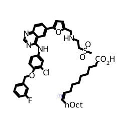 CCCCCCCC/C=C\CCCCCCCC(=O)O.CS(=O)(=O)CCNCc1ccc(-c2ccc3ncnc(Nc4ccc(OCc5cccc(F)c5)c(Cl)c4)c3c2)o1